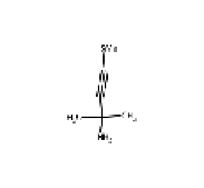 CSC#CC(C)(C)N